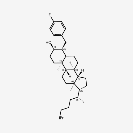 CC(C)CCC[C@@H](C)[C@H]1CC[C@H]2[C@@H]3CCC4[C@H](Cc5ccc(F)cc5)[C@H](O)CC[C@]4(C)[C@H]3CC[C@]12C